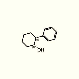 O[C@@H]1CCCC[C@H]1c1ccccc1